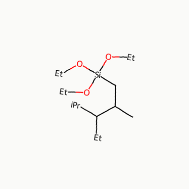 CCO[Si](CC(C)C(CC)C(C)C)(OCC)OCC